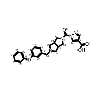 O=C(O)c1cnn(C(=O)N2CC3CN(Cc4cccc(Oc5ccccc5)c4)CC3C2)c1